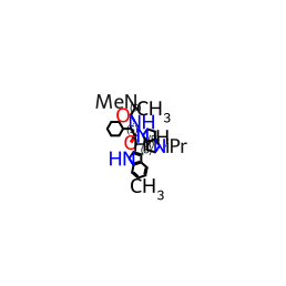 CN[C@@H](C)C(=O)N[C@H](C(=O)N1CC[C@@H]2[C@H]1[C@@H](c1c[nH]c3cc(C)ccc13)CN2C(C)C)C1CCCCC1